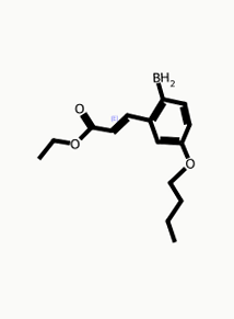 Bc1ccc(OCCCC)cc1/C=C/C(=O)OCC